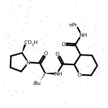 CCCNC(=O)C1CCCOC1C(=O)N[C@H](C(=O)N1CCC[C@H]1C(=O)O)[C@@H](C)CC